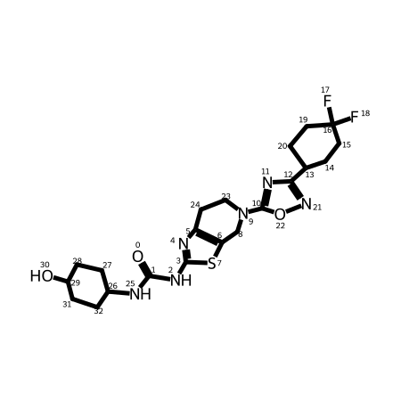 O=C(Nc1nc2c(s1)CN(c1nc(C3CCC(F)(F)CC3)no1)CC2)NC1CCC(O)CC1